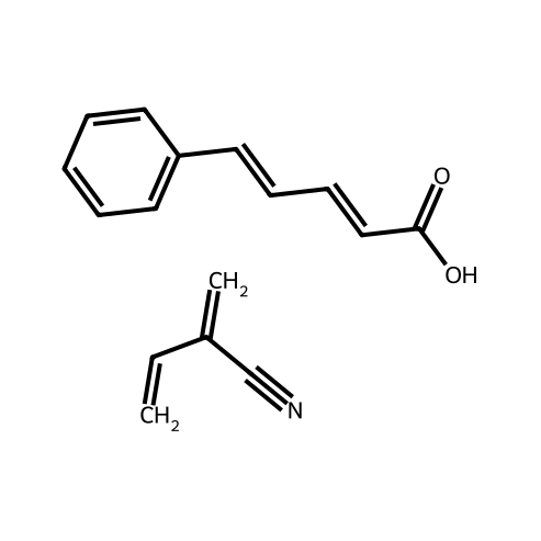 C=CC(=C)C#N.O=C(O)C=CC=Cc1ccccc1